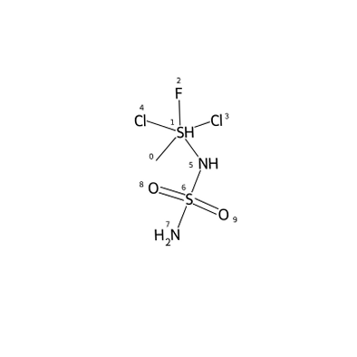 C[SH](F)(Cl)(Cl)NS(N)(=O)=O